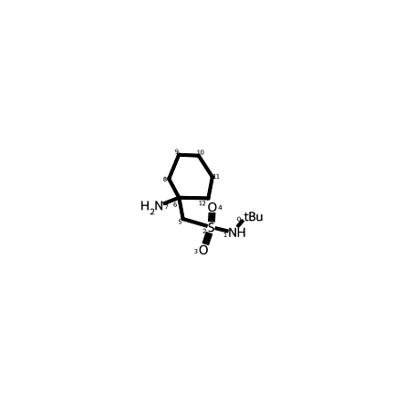 CC(C)(C)NS(=O)(=O)CC1(N)CCCCC1